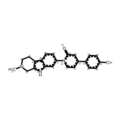 CN1CCc2c([nH]c3cc(-n4ccc(-c5ccc(Cl)cc5)cc4=O)ccc23)C1